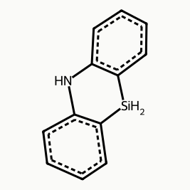 c1ccc2c(c1)Nc1ccccc1[SiH2]2